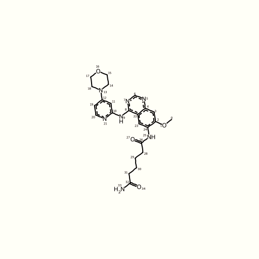 COc1cc2ncnc(Nc3cc(N4CCOCC4)ccn3)c2cc1NC(=O)CCCCC(N)=O